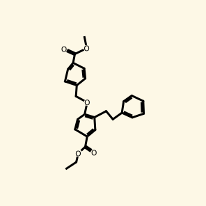 CCOC(=O)c1ccc(OCc2ccc(C(=O)OC)cc2)c(CCc2ccccc2)c1